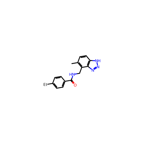 CCc1ccc(C(=O)NCc2c(C)ccc3[nH]nnc23)cc1